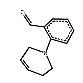 O=Cc1ccccc1N1CC=CCC1